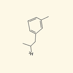 [2H]C(C)Cc1cccc(C)c1